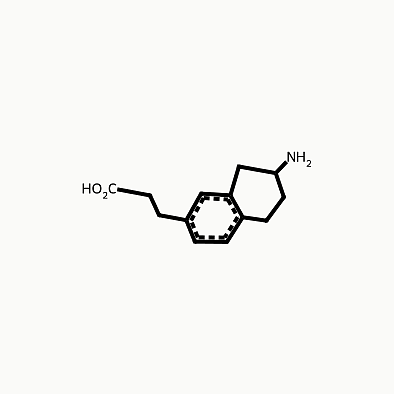 NC1CCc2ccc(CCC(=O)O)cc2C1